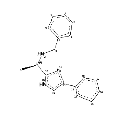 C[C@@H](NCc1ccccc1)c1nc(-c2ccccc2)c[nH]1